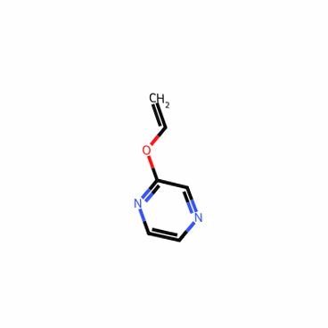 C=COc1cnccn1